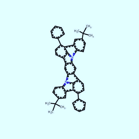 CC(C)(C)c1ccc2c(c1)c1c(-c3ccccc3)ccc3c4cc5c(cc4n2c31)c1ccc(-c2ccccc2)c2c3cc(C(C)(C)C)ccc3n5c12